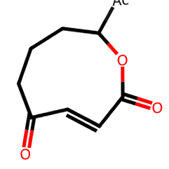 CC(=O)C1CCCC(=O)/C=C/C(=O)O1